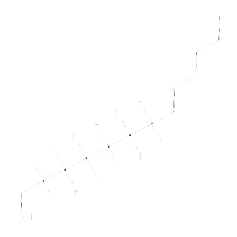 CCCCCCC(F)(F)C(F)(F)C(F)(F)C(F)(F)C(F)(F)C(F)(F)CO